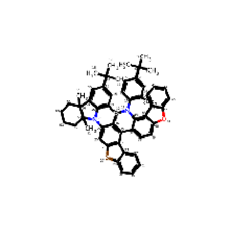 Cc1cc(C(C)(C)C)ccc1N1B2c3cc(C(C)(C)C)cc4c3N(c3cc5sc6ccccc6c5c(c32)-c2ccc3oc5ccccc5c3c21)C1(C)CCCCC41C